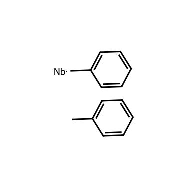 Cc1ccccc1.Cc1ccccc1.[Nb]